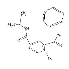 Cc1c[c]c(C(=O)NC(C)C)cc1C(=O)O.[c]1ccccc1